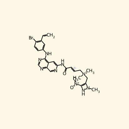 C=Cc1cc(Nc2ncnc3cnc(NC(=O)/C=C/C[N+](C)(C)Cc4c([N+](=O)[O-])[nH]n4C)cc23)ccc1Br